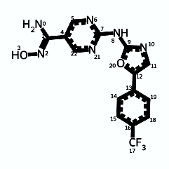 N/C(=N\O)c1cnc(Nc2ncc(-c3ccc(C(F)(F)F)cc3)o2)nc1